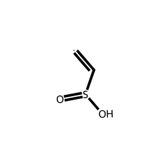 [CH]=CS(=O)O